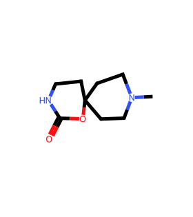 CN1CCC2(CCNC(=O)O2)CC1